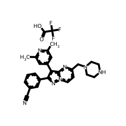 Cc1cc(-c2c(-c3cccc(C#N)c3)nn3ccc(CN4CCNCC4)nc23)cc(C)n1.O=C(O)C(F)(F)F